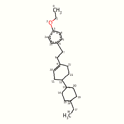 CCOc1ccc(CCC2=CCC(C3CCC(CC)CC3)CC2)cc1